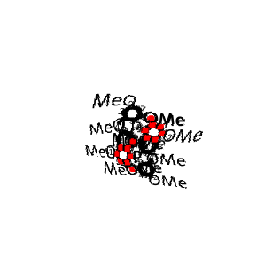 COC1CC(OC)C(P(C2C(OC)CC(OC)CC2OC)C2CCC3CCCCC3[C@H]2C2C3CCCCC3CC[C@H]2P(C2C(OC)CC(OC)CC2OC)C2C(OC)CC(OC)CC2OC)C(OC)C1